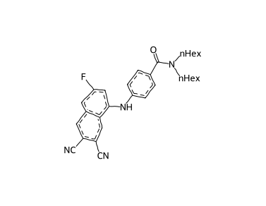 CCCCCCN(CCCCCC)C(=O)c1ccc(Nc2cc(F)cc3cc(C#N)c(C#N)cc23)cc1